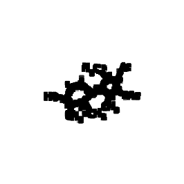 CC(=O)c1c(C(C)=O)c(C)n(-c2ccc(O)c(C)c2C)c1C